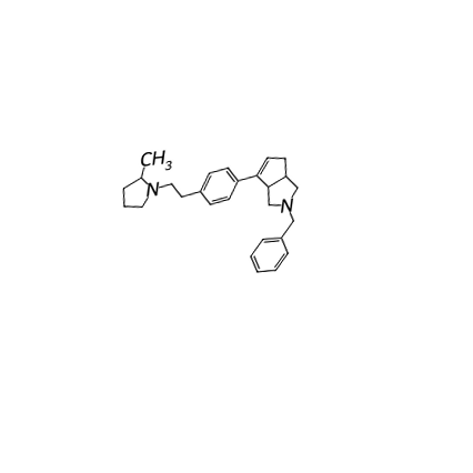 CC1CCCN1CCc1ccc(C2=CCC3CN(Cc4ccccc4)CC23)cc1